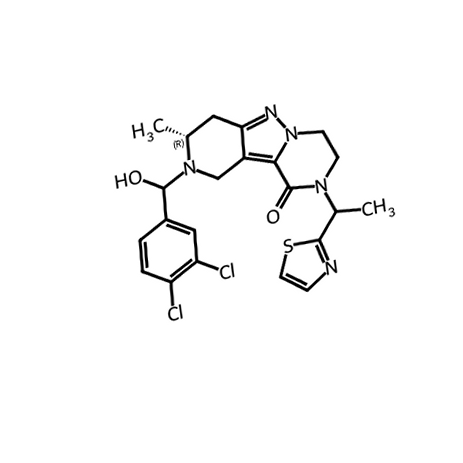 CC(c1nccs1)N1CCn2nc3c(c2C1=O)CN(C(O)c1ccc(Cl)c(Cl)c1)[C@H](C)C3